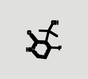 CC(C)(O)c1c(F)cc[nH]c1=O